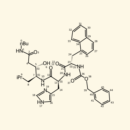 CCCCNC(=O)C[C@H](O)[C@H](CC(C)C)NC(=O)[C@H](Cc1c[nH]cn1)NC(=O)[C@H](Cc1cccc2ccccc12)NC(=O)OCc1ccccc1